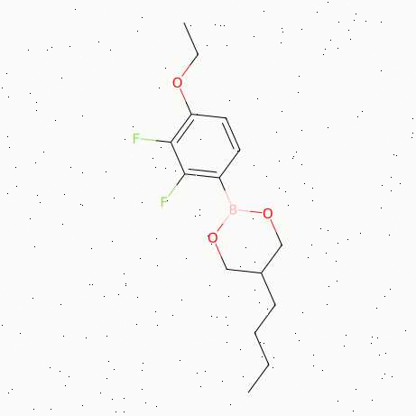 CCCCC1COB(c2ccc(OCC)c(F)c2F)OC1